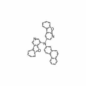 c1ccc2c(c1)ccc1cc(N(c3cnc4oc5ccccc5c4c3)c3cncc4c3oc3ccccc34)ccc12